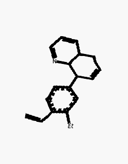 C=Cc1ccc(C2C=CCC3C=CC=NC32)cc1CC